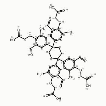 Cc1cc(C2(c3cc(C)c(OCC(=O)O)c(C=O)c3)CCC(c3cc(C)c(OCC(=O)O)c(C=O)c3)(c3cc(C)c(OCC(=O)O)c(C=O)c3)CC2)cc(C=O)c1OCC(=O)O